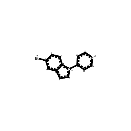 CCc1ccc2c(ccn2-c2ccncc2)c1